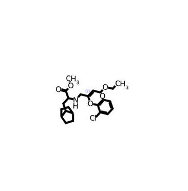 CCOC(=O)/C=C(/CNC(CC1C2CCC1CC2)C(=O)OC)Oc1ccccc1Cl